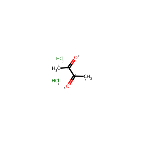 CC(=O)C(C)=O.Cl.Cl